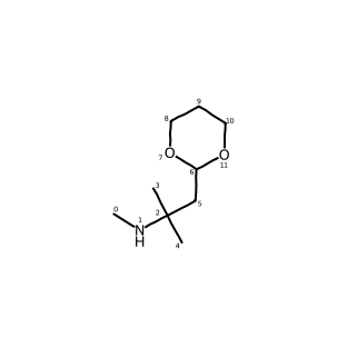 CNC(C)(C)CC1OCCCO1